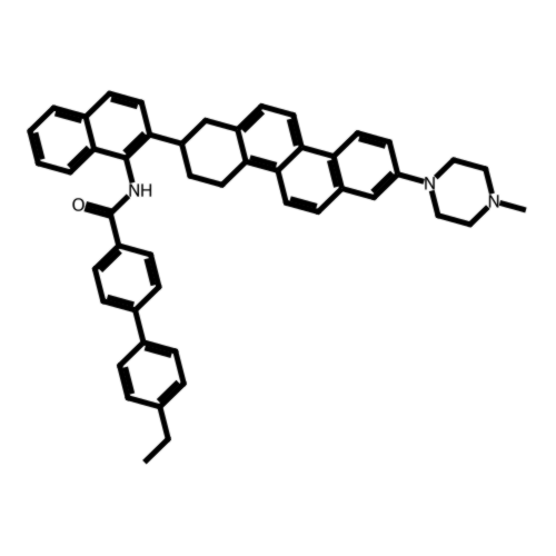 CCc1ccc(-c2ccc(C(=O)Nc3c(C4CCc5c(ccc6c5ccc5cc(N7CCN(C)CC7)ccc56)C4)ccc4ccccc34)cc2)cc1